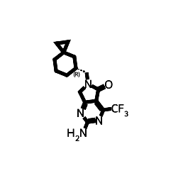 Nc1nc2c(c(C(F)(F)F)n1)C(=O)N(C[C@@H]1CCCC3(CC3)C1)C2